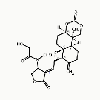 C=C1CC[C@@H]2[C@]3(C)COS(=O)O[C@@H]3CC[C@@]2(C)[C@@H]1C/C=C1/C(=O)OCC1N(C=O)C(=O)CO